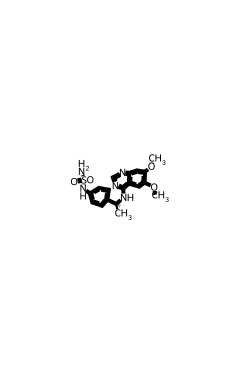 COc1cc2ncnc(N[C@@H](C)c3ccc(NS(N)(=O)=O)cc3)c2cc1OC